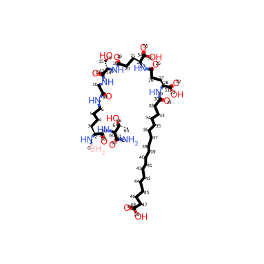 BN[C@@H](CCCCNC(=O)CNC(=O)[C@H](CO)NC(=O)CC[C@H](NC(=O)CC[C@H](NC(=O)CCCCCCCCCCCCCCCCC(=O)O)C(=O)O)C(=O)O)C(=O)NC(C(N)=O)[C@@H](C)O